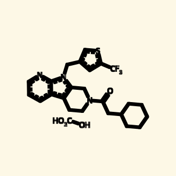 O=C(CC1CCCCC1)N1CCc2c(n(Cc3csc(C(F)(F)F)c3)c3ncccc23)C1.O=C(O)O